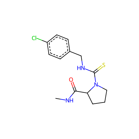 CNC(=O)C1CCCN1C(=S)NCc1ccc(Cl)cc1